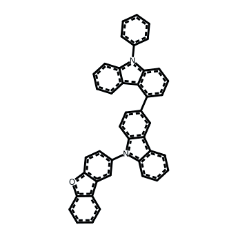 c1ccc(-n2c3ccccc3c3c(-c4ccc5c(c4)c4ccccc4n5-c4ccc5oc6ccccc6c5c4)cccc32)cc1